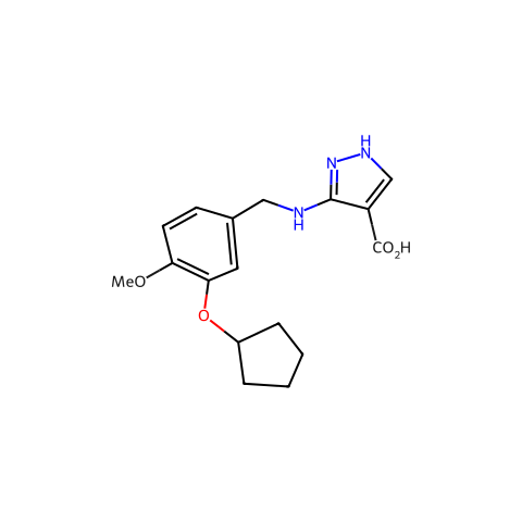 COc1ccc(CNc2n[nH]cc2C(=O)O)cc1OC1CCCC1